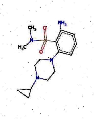 CN(C)S(=O)(=O)c1c(N)cccc1N1CCN(C2CC2)CC1